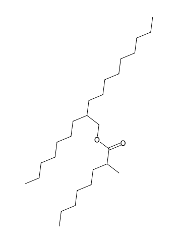 CCCCCCCCCC(CCCCCCC)COC(=O)C(C)CCCCCC